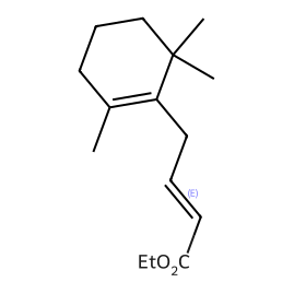 CCOC(=O)/C=C/CC1=C(C)CCCC1(C)C